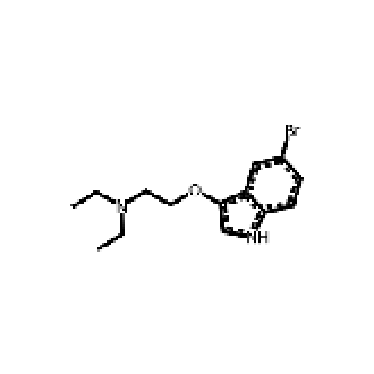 CCN(CC)CCOc1c[nH]c2ccc(Br)cc12